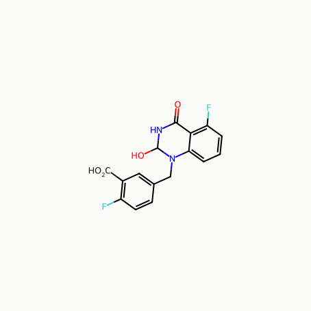 O=C(O)c1cc(CN2c3cccc(F)c3C(=O)NC2O)ccc1F